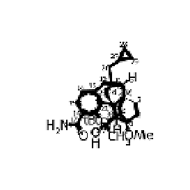 CO[C@]12CC[C@@]3(CC1[C@](C)(O)C(C)(C)C)[C@H]1Cc4ccc(C(N)=O)c5c4[C@@]3(CCC1CC1CC1)[C@H]2O5